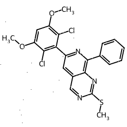 COc1cc(OC)c(Cl)c(-c2cc3cnc(SC)nc3c(-c3ccccc3)n2)c1Cl